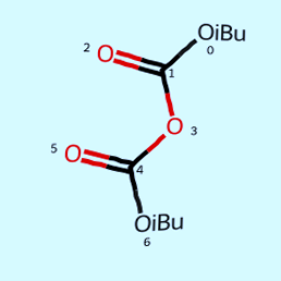 CC(C)COC(=O)OC(=O)OCC(C)C